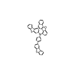 c1ccc2c(c1)ccc1c2oc2cccc(N(c3ccc(-c4ccc5sc6ccccc6c5c4)cc3)c3ccc4c(c3)sc3ccccc34)c21